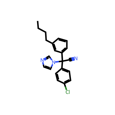 CCCCc1cccc(C(C#N)(c2ccc(Cl)cc2)n2ccnc2)c1